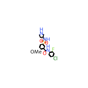 COc1ccc(S(=O)(=O)N[C@H]2CCNC2)cc1C(=O)Nc1ccc(Cl)cc1F